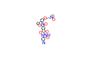 CN(C)c1ccc2nc(C3C(=O)c4cc5c(cc4C3=O)C(=O)N(c3cc(OCCCN4CCCC4=O)ccc3C3=CC=CC3)C5=O)[nH]c(=O)c2c1